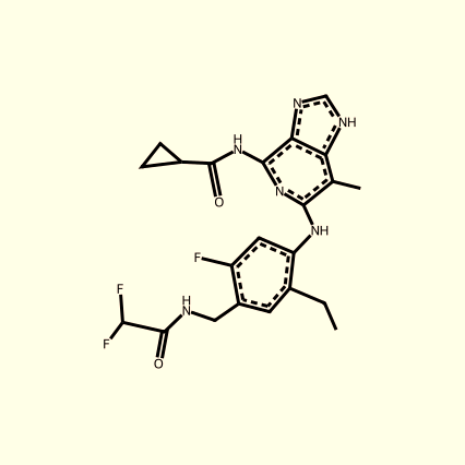 CCc1cc(CNC(=O)C(F)F)c(F)cc1Nc1nc(NC(=O)C2CC2)c2nc[nH]c2c1C